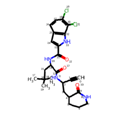 C#CC(CC1CCCNC1=O)NC(=O)C(CC(C)(C)C)NC(=O)c1cc2ccc(Cl)c(Cl)c2[nH]1